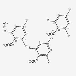 Cc1cc(C)c(C(=O)[O-])c(C)c1.Cc1cc(C)c(C(=O)[O-])c(C)c1.Cc1cc(C)c(C(=O)[O-])c(C)c1.[Y+3]